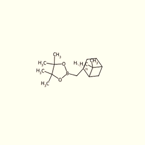 CC1(C)C2CC[C@H](CB3OC(C)(C)C(C)(C)O3)C1C2